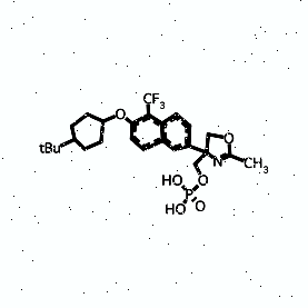 CC1=NC(COP(=O)(O)O)(c2ccc3c(C(F)(F)F)c(OC4CCC(C(C)(C)C)CC4)ccc3c2)CO1